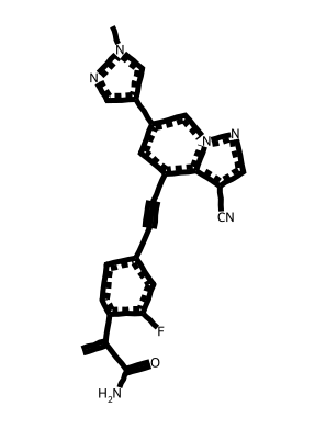 C=C(C(N)=O)c1ccc(C#Cc2cc(-c3cnn(C)c3)cn3ncc(C#N)c23)cc1F